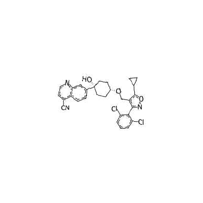 N#Cc1ccnc2cc([C@]3(O)CC[C@@H](OCc4c(-c5c(Cl)cccc5Cl)noc4C4CC4)CC3)ccc12